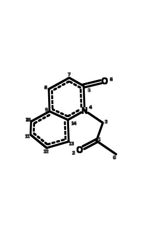 CC(=O)Cn1c(=O)ccc2ccccc21